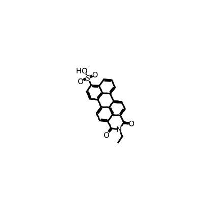 CCN1C(=O)c2ccc3c4cccc5c(S(=O)(=O)O)ccc(c6ccc(c2c36)C1=O)c54